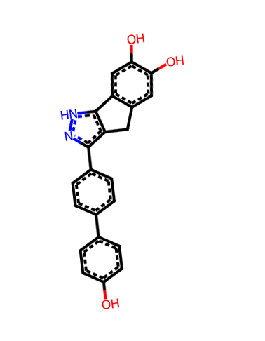 Oc1ccc(-c2ccc(-c3n[nH]c4c3Cc3cc(O)c(O)cc3-4)cc2)cc1